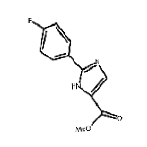 COC(=O)c1cnc(-c2ccc(F)cc2)[nH]1